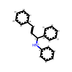 C(=CC(Nc1ccccc1)c1ccccc1)c1ccccc1